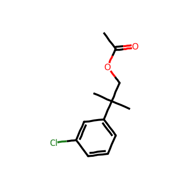 CC(=O)OCC(C)(C)c1cccc(Cl)c1